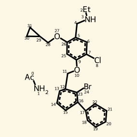 CC(N)=O.CCNCc1cc(Cl)c(OCc2cccc(-c3ccccc3)c2Br)cc1OCC1CC1